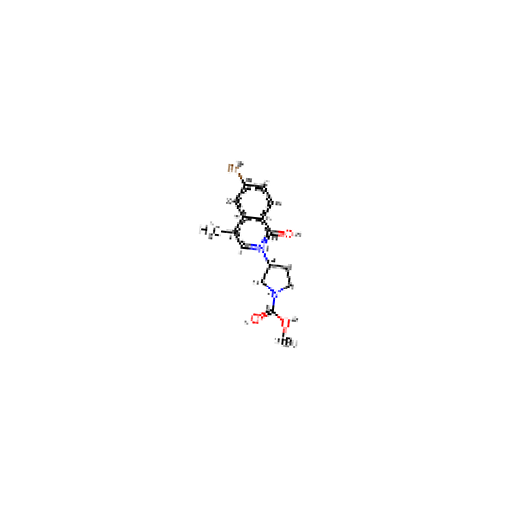 Cc1cn(C2CCN(C(=O)OC(C)(C)C)C2)c(=O)c2ccc(Br)cc12